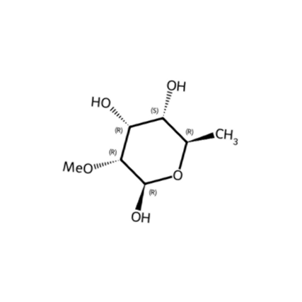 CO[C@@H]1[C@H](O)[C@H](O)[C@@H](C)O[C@H]1O